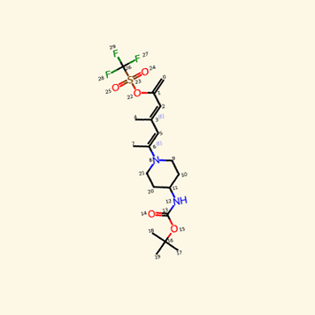 C=C(/C=C(C)/C=C(\C)N1CCC(NC(=O)OC(C)(C)C)CC1)OS(=O)(=O)C(F)(F)F